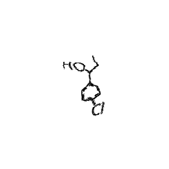 OC(CI)c1ccc(Cl)cc1